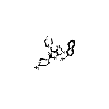 CN(Cc1ccc2ccccc2c1)c1ncnc2c(N3CCOCC3)nc(N3CCC(N(C)C)CC3)nc12